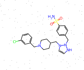 NS(=O)(=O)c1ccc(CN2NC=CN2CC2CCN(Cc3cccc(Cl)c3)CC2)cc1